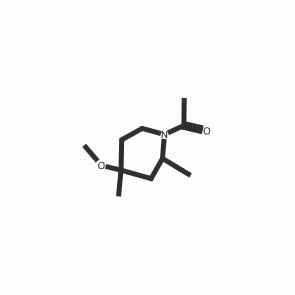 COC1(C)CCN(C(C)=O)C(C)C1